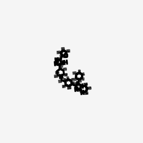 c1ccc(-c2c(-c3ccc(CN4CCC(c5nnc(-c6ccco6)[nH]5)CC4)cc3)nc3ncccn23)cc1